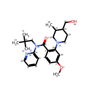 COc1ccc(C(=O)N(CC(C)(C)C)c2ccccn2)c(N2CCC(CO)C(C)C2)c1